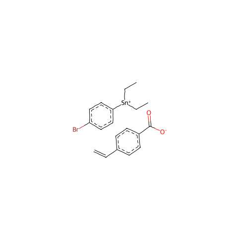 C=Cc1ccc(C(=O)[O-])cc1.C[CH2][Sn+]([CH2]C)[c]1ccc(Br)cc1